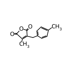 CC1=C(Cc2ccc(C)cc2)C(=O)OC1=O